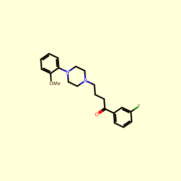 COc1ccccc1N1CCN(CCCC(=O)c2cccc(F)c2)CC1